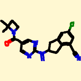 CC1(C)CCN1C(=O)c1cnc(NC2Cc3cc(Cl)cc(C#N)c3C2)nc1